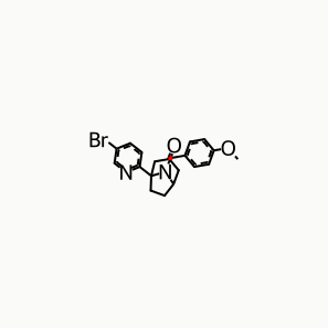 COc1ccc(CN2C3CCC2(c2ccc(Br)cn2)CC(=O)C3)cc1